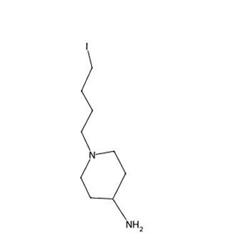 NC1CCN(CCCCI)CC1